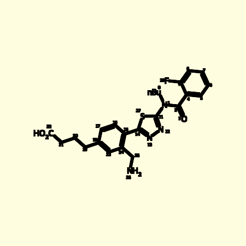 CCCCN(C(=O)c1ccccc1F)c1nnc(-c2ccc(CCCC(=O)O)cc2CN)s1